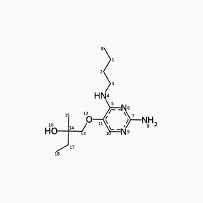 CCCCNc1nc(N)ncc1OCC(C)(O)CC